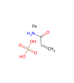 C=CC(N)=O.O=S(=O)(O)O.[Fe]